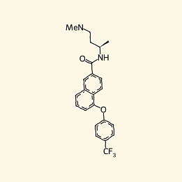 CNCC[C@@H](C)NC(=O)c1ccc2c(Oc3ccc(C(F)(F)F)cc3)cccc2c1